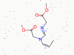 C/C=C\N(/C=N/CC(=O)OC)CC(=O)OC